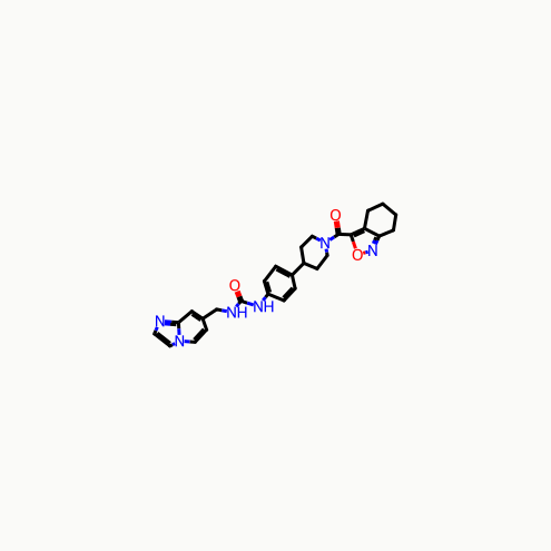 O=C(NCc1ccn2ccnc2c1)Nc1ccc(C2CCN(C(=O)c3onc4c3CCCC4)CC2)cc1